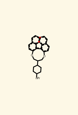 CCCC1CCC(C2COc3ccc4cccc5c6cccc7ccc(c(c3c45)c76)OC2)CC1